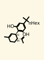 C=C(C)[C@@H]1CCC(C)=C[C@H]1c1c(O)cc(C(C)(C)CCCCCC)cc1O